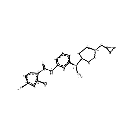 CN(c1cccc(NC(=O)c2ccc(F)cc2Cl)n1)C1CCN(CC2CC2)CC1